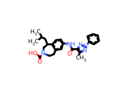 Cc1nn(-c2ccccc2)nc1C(=O)Nc1ccc2c(c1)CCN(C(=O)O)CC2CC(C)C